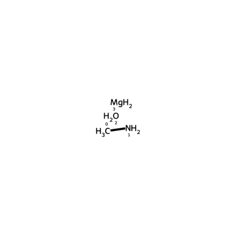 CN.O.[MgH2]